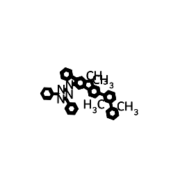 Cc1ccccc1-c1cccc(-c2ccc3c(c2)C(C)(C)c2cc4c5ccccc5n(-c5nc(C6=CCCC=C6)nc(-c6ccccc6)n5)c4cc2-3)c1C